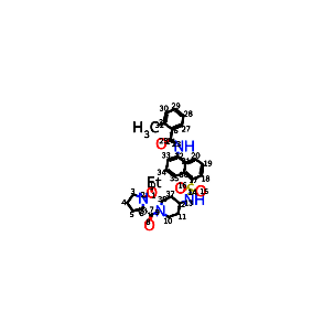 CCON1CCC[C@H]1C(=O)N1CCC(NS(=O)(=O)c2cccc3c(NC(=O)c4ccccc4C)cccc23)CC1